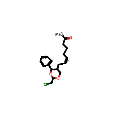 COC(=O)CCC/C=C\CC1COC(CCl)OC1c1ccccc1